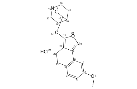 COc1ccc2c(c1)-c1noc(OC3CN4CCC3CC4)c1CC2.Cl